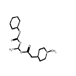 CC(OC(=O)CC1CCN(C)CC1)OC(=O)OC1CCCCC1